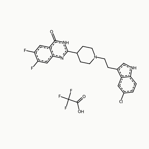 O=C(O)C(F)(F)F.O=c1[nH]c(C2CCN(CCc3c[nH]c4ccc(Cl)cc34)CC2)nc2cc(F)c(F)cc12